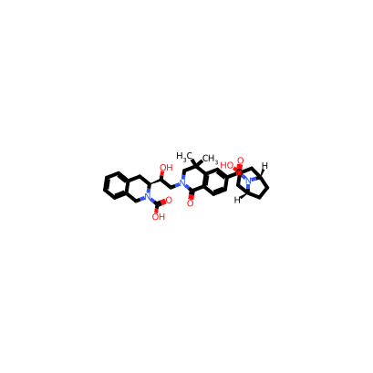 CC1(C)CN(CC(O)[C@@H]2Cc3ccccc3CN2C(=O)O)C(=O)c2ccc(C(=O)N3[C@@H]4CC[C@H]3CC(O)C4)cc21